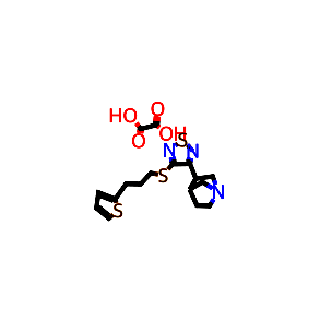 O=C(O)C(=O)O.c1csc(CCCSc2nsnc2C2CN3CCC2C3)c1